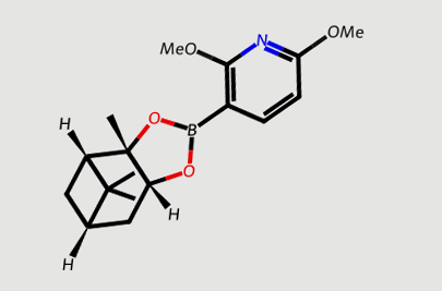 COc1ccc(B2O[C@@H]3C[C@@H]4C[C@@H](C4(C)C)[C@]3(C)O2)c(OC)n1